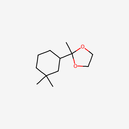 CC1(C)CCCC(C2(C)OCCO2)C1